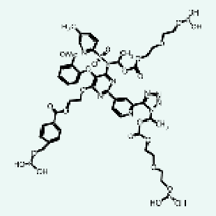 COc1ccccc1Oc1c(OCCOC(=O)c2ccc(CON(O)O)cc2)nc(-c2ccnc(-c3nnnn3C(C)OC(=O)OCCOCCON(O)O)c2)nc1N(C(C)OC(=O)OCCOCCON(O)O)S(=O)(=O)c1ccc(C)cn1